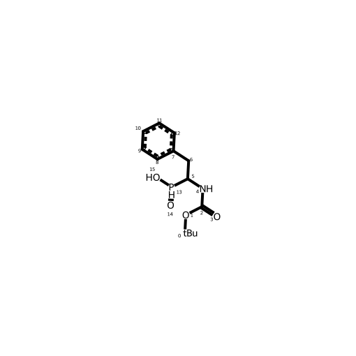 CC(C)(C)OC(=O)NC(Cc1ccccc1)[PH](=O)O